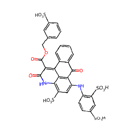 O=C(OCc1cccc(S(=O)(=O)O)c1)c1c2c3c(c(Nc4ccc(S(=O)(=O)O)cc4S(=O)(=O)O)cc(S(=O)(=O)O)c3[nH]c1=O)C(=O)c1ccccc1-2